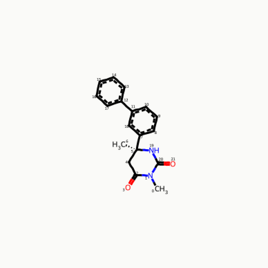 CN1C(=O)C[C@@](C)(c2cccc(-c3ccccc3)c2)NC1=O